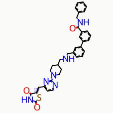 O=C1NC(=O)/C(=C/c2ccnc(N3CCC(CNCc4cccc(-c5cccc(C(=O)NCc6ccccc6)c5)c4)CC3)n2)S1